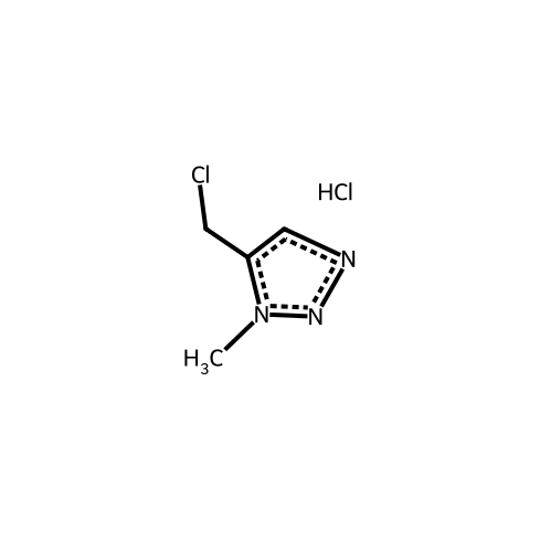 Cl.Cn1nncc1CCl